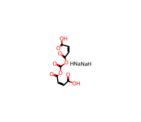 O=C(O)/C=C\C(=O)OC(=O)OC(=O)/C=C\C(=O)O.[NaH].[NaH]